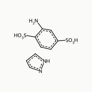 Nc1cc(S(=O)(=O)O)ccc1S(=O)(=O)O.c1cn[nH]c1